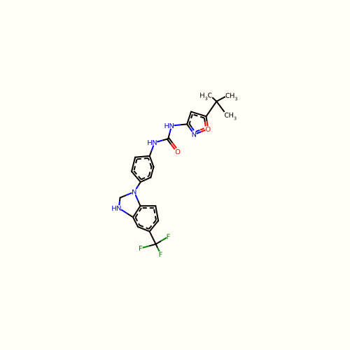 CC(C)(C)c1cc(NC(=O)Nc2ccc(N3CNc4cc(C(F)(F)F)ccc43)cc2)no1